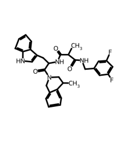 CC(C(=O)NCc1cc(F)cc(F)c1)C(=O)NC(Cc1c[nH]c2ccccc12)C(=O)N1Cc2ccccc2C(C)C1